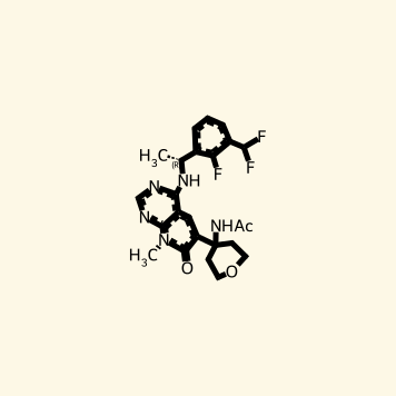 CC(=O)NC1(c2cc3c(N[C@H](C)c4cccc(C(F)F)c4F)ncnc3n(C)c2=O)CCOCC1